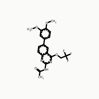 COc1ccc(-c2ccc3nc(NC(C)=O)nc(OCC(F)(F)F)c3c2)cc1OC